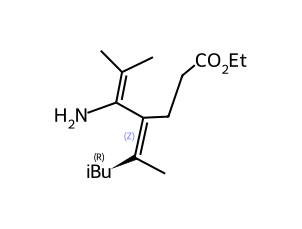 CCOC(=O)CC/C(C(N)=C(C)C)=C(\C)[C@H](C)CC